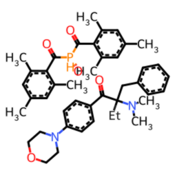 CCC(Cc1ccccc1)(C(=O)c1ccc(N2CCOCC2)cc1)N(C)C.Cc1cc(C)c(C(=O)[PH](=O)C(=O)c2c(C)cc(C)cc2C)c(C)c1